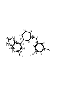 Cc1cc(F)cc(CN2CCCC(c3cc(C)nc4ncnn34)C2)c1